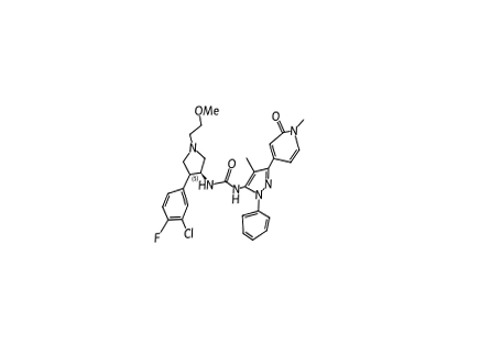 COCCN1CC(c2ccc(F)c(Cl)c2)[C@H](NC(=O)Nc2c(C)c(-c3ccn(C)c(=O)c3)nn2-c2ccccc2)C1